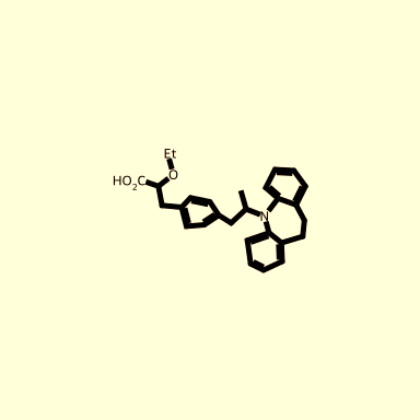 CCOC(Cc1ccc(CC(C)N2c3ccccc3CCc3ccccc32)cc1)C(=O)O